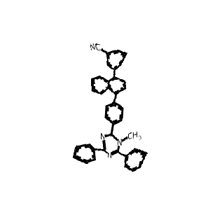 CN1C(c2ccccc2)=NC(c2ccccc2)=NC1c1ccc(-c2ccc(-c3cccc(C#N)c3)c3ccccc23)cc1